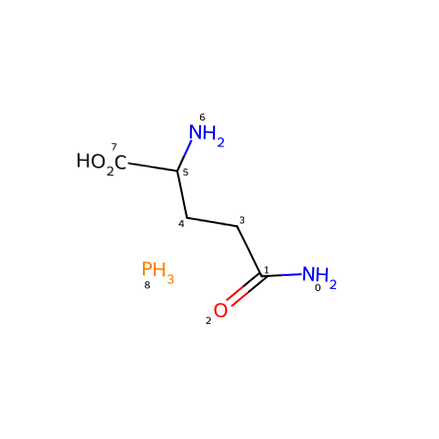 NC(=O)CCC(N)C(=O)O.P